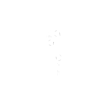 O=C(O)c1ccccc1Nc1cccc(CCCc2ccc(N3CCNCC3)cc2)c1